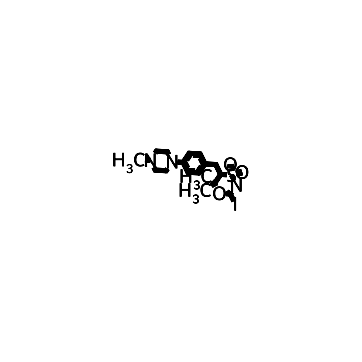 CN1CCN(c2ccc(CC3C(C)(C)OC(I)=NS3(=O)=O)cc2)CC1